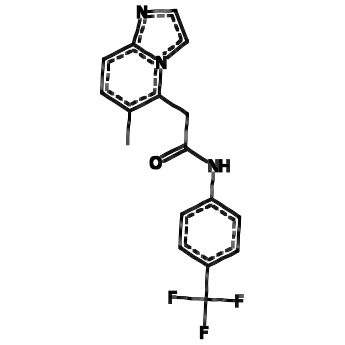 Cc1ccc2nccn2c1CC(=O)Nc1ccc(C(F)(F)F)cc1